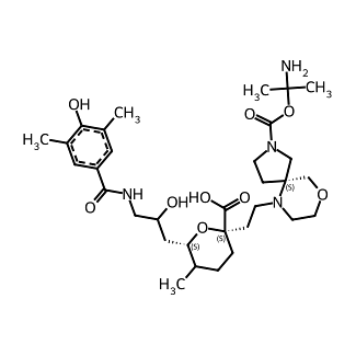 Cc1cc(C(=O)NCC(O)C[C@@H]2O[C@@](CCN3CCOC[C@@]34CCN(C(=O)OC(C)(C)N)C4)(C(=O)O)CCC2C)cc(C)c1O